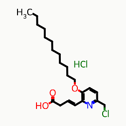 CCCCCCCCCCCCOc1ccc(CCl)nc1C=CCC(=O)O.Cl